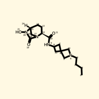 CCCCN1CC2(CC(NC(=O)[C@@H]3CC[C@@H]4CN3C(=O)N4O)C2)C1